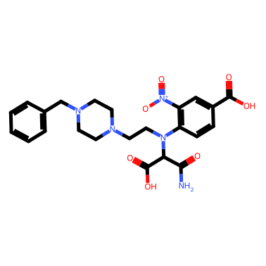 NC(=O)C(C(=O)O)N(CCN1CCN(Cc2ccccc2)CC1)c1ccc(C(=O)O)cc1[N+](=O)[O-]